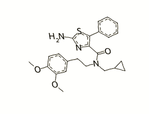 COc1ccc(CCN(CC2CC2)C(=O)c2nc(N)sc2-c2ccccc2)cc1OC